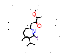 COC(C)C(=O)CC1CCC(C)=C(C(C)C)C(I)=N1